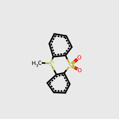 C[S+]1c2ccccc2S(=O)(=O)c2ccccc21